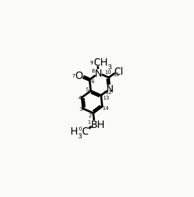 CBc1ccc2c(=O)n(C)c(Cl)nc2c1